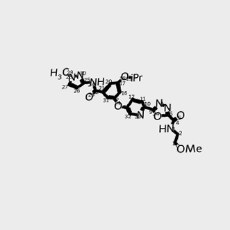 COCCNC(=O)c1nnc(-c2ccc(Oc3cc(OC(C)C)cc(C(=O)Nc4ccn(C)n4)c3)cn2)o1